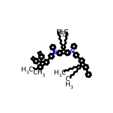 CCCCCCCCC1(CCCCCCCC)c2cc(-c3ccccc3)ccc2-c2ccc(-c3ccc(N(c4ccccc4)c4ccc5c(c4)C(CCCCCCCC)(CCCCCCCC)c4cc(N(c6ccccc6)c6ccc(-c7ccc8c(c7)C(c7ccc9c(c7)CC9)(c7ccc9c(c7)CC9)c7cc(C(C)CC)ccc7-8)cc6)ccc4-5)cc3)cc21